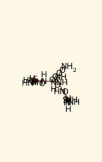 N=C1N[C@H]2[C@H](CS[C@H]2CCCCC(=O)NCCCCCC(=O)Nc2cc(NC(=O)CCCCCNC(=O)CCCC[C@@H]3SC[C@@H]4NC(=N)N[C@@H]43)cc(C(=O)NCCOCCOCCN)c2)N1